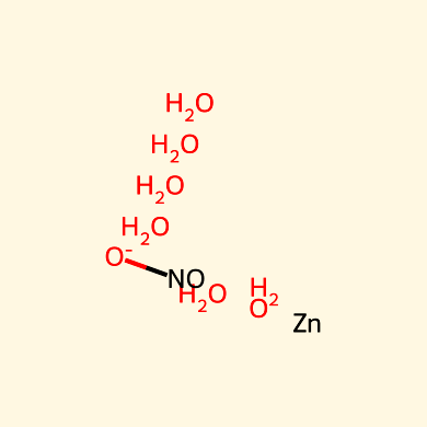 O.O.O.O.O.O.O=[NH+][O-].[Zn]